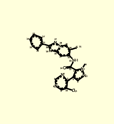 Cn1ncc(-c2ncncc2Cl)c1C(=O)Nc1cc2nc(-c3ccccc3)nn2cc1F